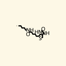 [CH2]CCCCNC(=O)CCCCC1SCC2NC(=O)NC21